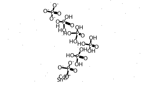 O=P(O)(O)O.O=P(O)(O)O.O=P(O)(O)O.O=P(O)(O)O.O=P([O-])([O-])[O-].O=P([O-])([O-])[O-].[Cd+2].[Sn+4]